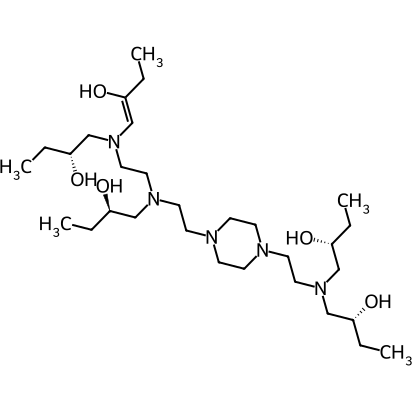 CC/C(O)=C/N(CCN(CCN1CCN(CCN(C[C@H](O)CC)C[C@H](O)CC)CC1)C[C@H](O)CC)C[C@H](O)CC